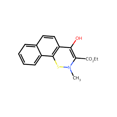 CCOC(=O)C1=C(O)c2ccc3ccccc3c2SN1C